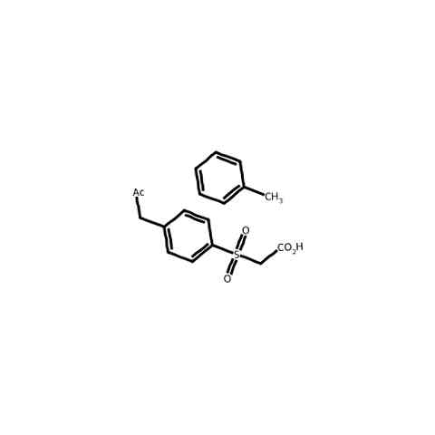 CC(=O)Cc1ccc(S(=O)(=O)CC(=O)O)cc1.Cc1ccccc1